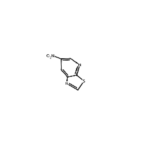 O=[N+]([O-])c1cnc2scnc2c1